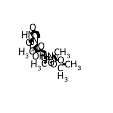 CC(C)OC(=O)[C@H](C)NP(C)(=O)OCC1OC(n2ccc(=O)[nH]c2=O)[C@](C)(F)[C@@H]1O